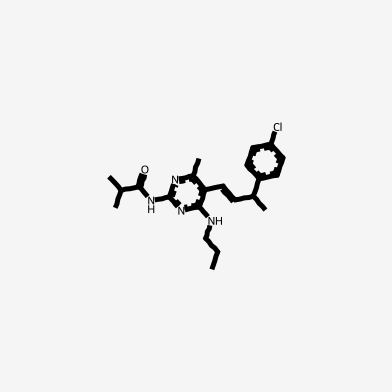 CCCNc1nc(NC(=O)C(C)C)nc(C)c1C=CC(C)c1ccc(Cl)cc1